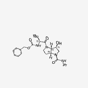 CC(C)NC(=O)N1C[C@H](O)[C@@H]2[C@H]1CCN2C(=O)[C@@H](NC(=O)OCc1ccccc1)C(C)(C)C